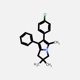 Cc1c(-c2ccc(Cl)cc2)c(-c2ccccc2)c2n1CC(C)(C)C2